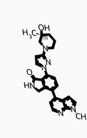 Cn1ccc2c(-c3ccc(-n4ccc(N5CCC[C@](C)(O)C5)n4)c4c3CNC4=O)ccnc21